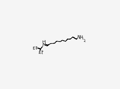 CCC(CC)NCCCCCCCCCCCN